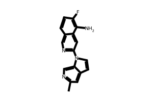 Cc1cc2ccn(-c3cc4c(N)c(F)ccc4cn3)c2cn1